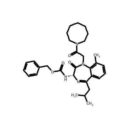 Cc1cccc2c1N(CC(=O)N1CCCCCCC1)C(=O)[C@@H](NC(=O)OCc1ccccc1)N=C2CC(C)C